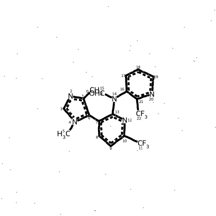 Cc1ncn(C)c1-c1ccc(C(F)(F)F)nc1N(C=O)c1cccnc1C(F)(F)F